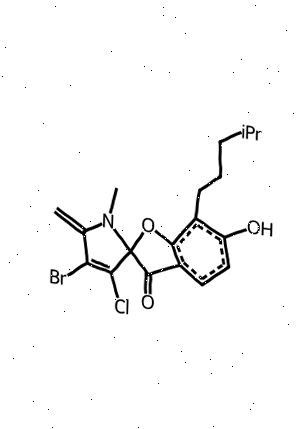 C=C1C(Br)=C(Cl)C2(Oc3c(ccc(O)c3CCCC(C)C)C2=O)N1C